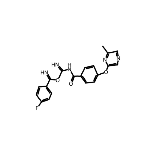 Cc1cncc(Oc2ccc(C(=O)NC(=N)OC(=N)c3ccc(F)cc3)cc2)n1